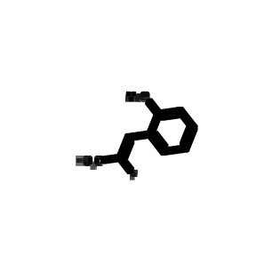 COc1ccccc1/C=C(\F)C(=O)O